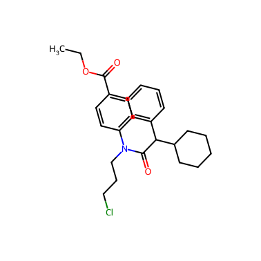 CCOC(=O)c1ccc(N(CCCCl)C(=O)C(c2ccccc2)C2CCCCC2)cc1